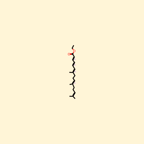 CCOC(=O)/C=C/C=C/C=C(\C)CC/C=C(\C)CCC=C(C)C